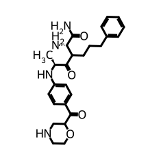 C[C@H](Nc1ccc(C(=O)C2CNCCO2)cc1)C(=O)C(CCCc1ccccc1)[C@H](N)C(N)=O